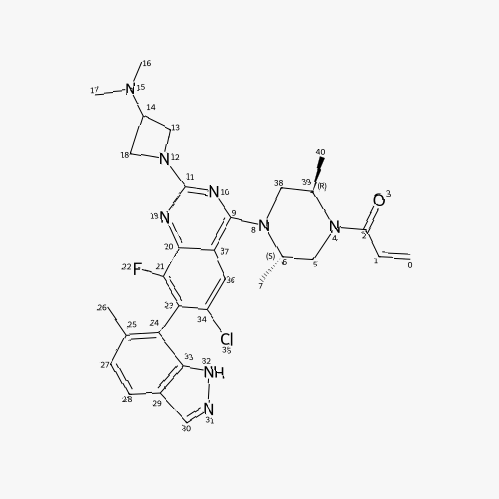 C=CC(=O)N1C[C@H](C)N(c2nc(N3CC(N(C)C)C3)nc3c(F)c(-c4c(C)ccc5cn[nH]c45)c(Cl)cc23)C[C@H]1C